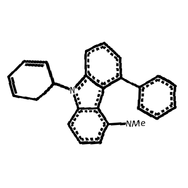 CNc1cccc2c1c1c(-c3ccccc3)cccc1n2C1C=CC=CC1